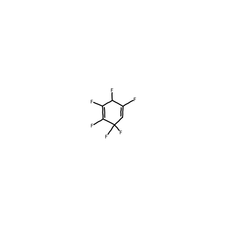 FC1=CC(F)(F)C(F)=C(F)C1F